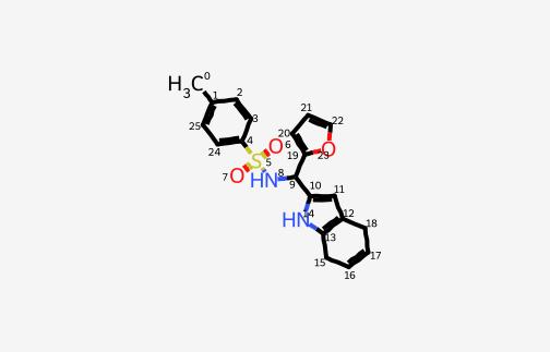 Cc1ccc(S(=O)(=O)NC(c2cc3c([nH]2)CC=CC3)c2ccco2)cc1